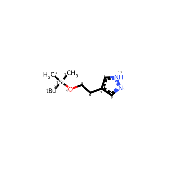 CC(C)(C)[Si](C)(C)OCCc1cn[nH]c1